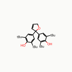 CC(C)(C)c1cc(C2(c3cc(C(C)(C)C)c(O)c(C(C)(C)C)c3)C=CCO2)cc(C(C)(C)C)c1O